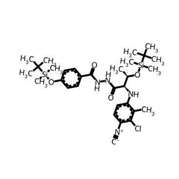 [C-]#[N+]c1ccc(N[C@@H](C(=O)NNC(=O)c2ccc(O[Si](C)(C)C(C)(C)C)cc2)[C@@H](C)O[Si](C)(C)C(C)(C)C)c(C)c1Cl